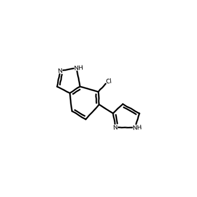 Clc1c(-c2cc[nH]n2)ccc2cn[nH]c12